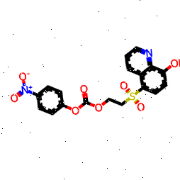 O=C(OCCS(=O)(=O)c1ccc(O)c2ncccc12)Oc1ccc([N+](=O)[O-])cc1